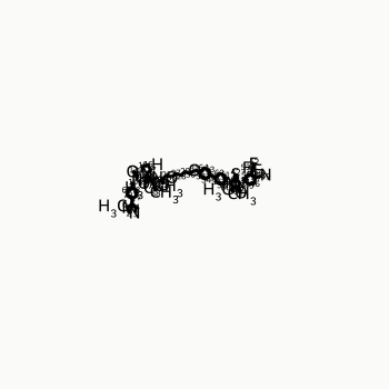 Cn1cncc1-c1ccc(CNC(=O)[C@@H]2CCCN2C(=O)C(NC(=O)COCCCCOc2ccc(-c3ccc(N4C(=S)N(c5ccc(C#N)c(C(F)(F)F)c5)C(=O)C4(C)C)cc3)cc2)C(C)(C)C)cc1